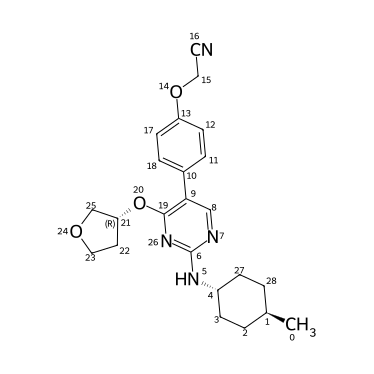 C[C@H]1CC[C@H](Nc2ncc(-c3ccc(OCC#N)cc3)c(O[C@@H]3CCOC3)n2)CC1